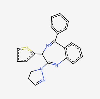 C1=NN(C2=Nc3ccccc3C(c3ccccc3)=NC2c2cccs2)CC1